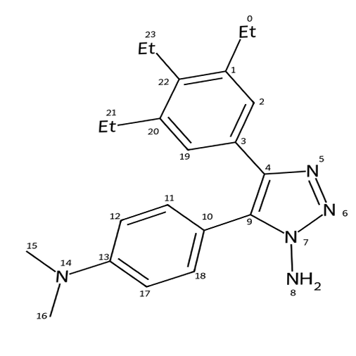 CCc1cc(-c2nnn(N)c2-c2ccc(N(C)C)cc2)cc(CC)c1CC